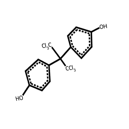 Oc1ccc(C(c2ccc(O)cc2)(C(Cl)(Cl)Cl)C(Cl)(Cl)Cl)cc1